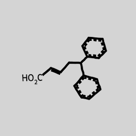 O=C(O)/C=C/CC(c1ccccc1)c1ccccc1